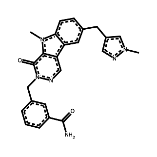 Cn1cc(Cc2ccc3c(c2)c2cnn(Cc4cccc(C(N)=O)c4)c(=O)c2n3C)cn1